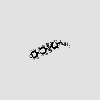 NCc1ccc(S(=O)(=O)C2CCN(C3CCOCC3)CC2)cn1